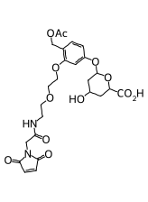 CC(=O)OCc1ccc(OC2CC(O)CC(C(=O)O)O2)cc1OCCOCCNC(=O)CN1C(=O)C=CC1=O